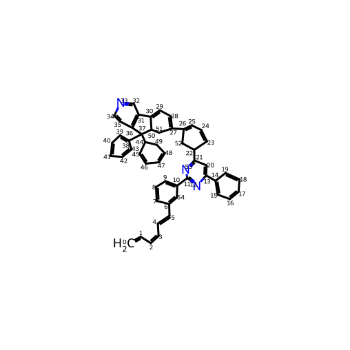 C=C/C=C\C=C\c1cccc(-c2nc(-c3ccccc3)cc(C3C=CC=C(C4=CC=C5c6cnccc6C(c6ccccc6)(C6C=CC=CC6)C5C4)C3)n2)c1